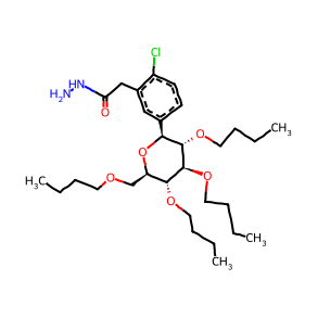 CCCCOC[C@H]1O[C@@H](c2ccc(Cl)c(CC(=O)NN)c2)[C@H](OCCCC)[C@@H](OCCCC)[C@@H]1OCCCC